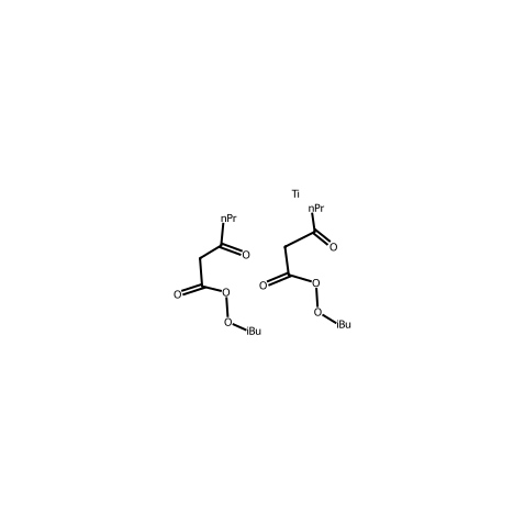 CCCC(=O)CC(=O)OOC(C)CC.CCCC(=O)CC(=O)OOC(C)CC.[Ti]